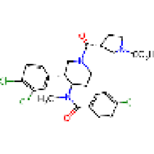 CN(C(=O)c1ccc(Cl)cc1)[C@@H]1CCN(C(=O)[C@@H]2CCN(C(=O)O)C2)C[C@H]1c1ccc(Cl)c(Cl)c1